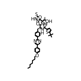 CCCCCCCOc1ccc(-c2cnc(-c3ccc(C[C@H](NC(=O)c4ccc(C(C)(C)C)s4)C(=O)N[C@@H](c4n[nH]c(=S)o4)[C@@H](C)O)cc3)nc2)cc1